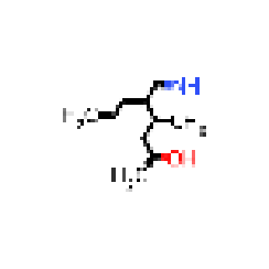 C=C/C=C(/C=N)C(C)CC(=C)O